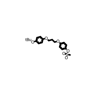 CC(C)(C)Oc1ccc(OCCCOc2ccc(OS(C)(=O)=O)cc2)cc1